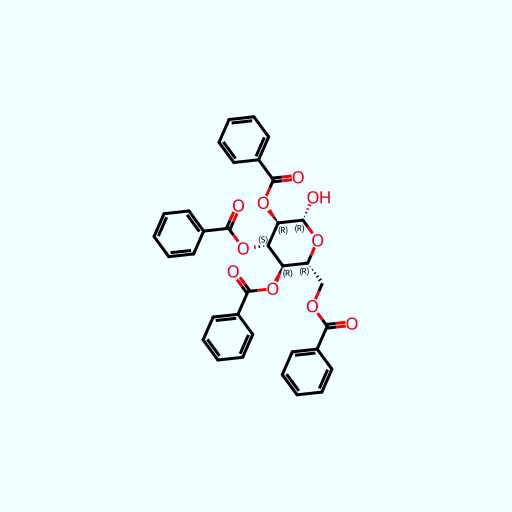 O=C(OC[C@H]1O[C@@H](O)[C@H](OC(=O)c2ccccc2)[C@@H](OC(=O)c2ccccc2)[C@@H]1OC(=O)c1ccccc1)c1ccccc1